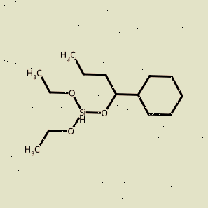 CCCC(O[SiH](OCC)OCC)C1CCCCC1